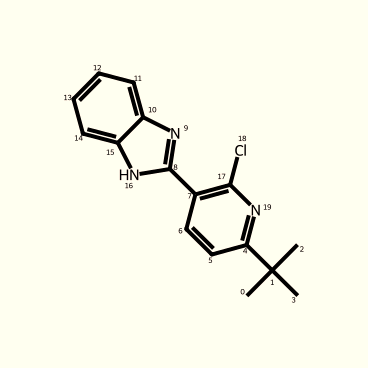 CC(C)(C)c1ccc(-c2nc3ccccc3[nH]2)c(Cl)n1